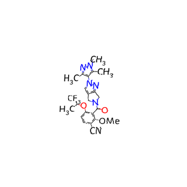 COc1c(C#N)ccc(O[C@@H](C)C(F)(F)F)c1C(=O)N1Cc2cn(-c3c(C)nn(C)c3C)nc2C1